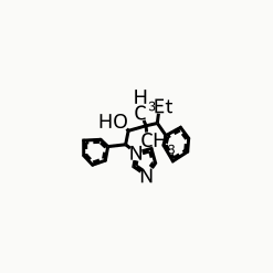 CCC(c1ccccc1)C(C)(C)C(O)C(c1ccccc1)n1ccnc1